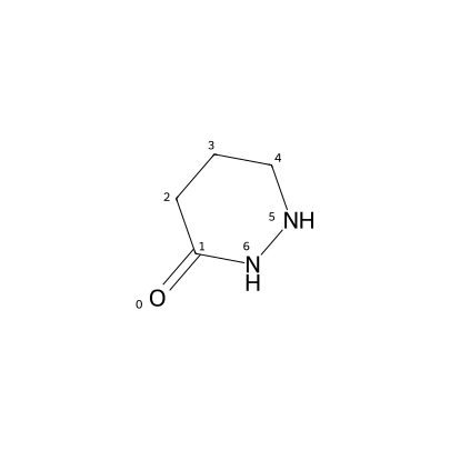 O=C1CCCNN1